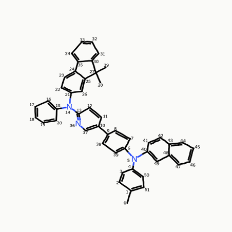 Cc1ccc(N(c2ccc(-c3ccc(N(c4ccccc4)c4ccc5c(c4)C(C)(C)c4ccccc4-5)nc3)cc2)c2ccc3ccccc3c2)cc1